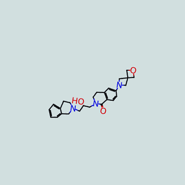 O=C1c2ccc(N3CC4(COC4)C3)cc2CCN1C[C@H](O)CN1CCc2ccccc2C1